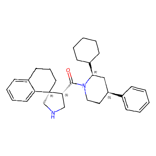 O=C([C@@H]1CNC[C@]12CCCc1ccccc12)N1CC[C@H](c2ccccc2)C[C@@H]1C1CCCCC1